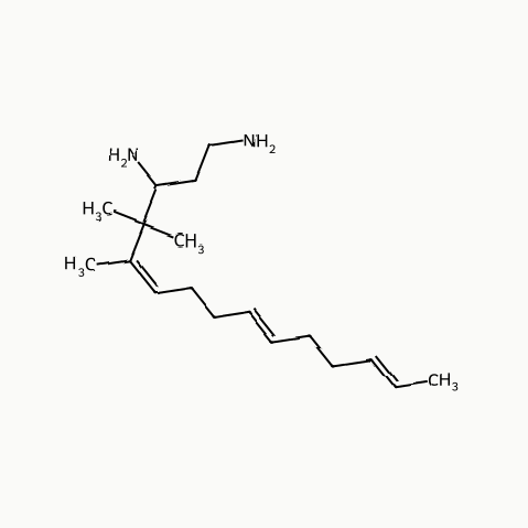 CC=CCCC=CCCC=C(C)C(C)(C)C(N)CCN